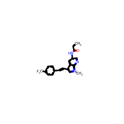 C=CC(=O)Nc1cnc2c(c1)c(C#Cc1ccc(C(F)(F)F)cc1)cn2C